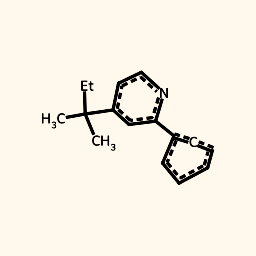 CCC(C)(C)c1ccnc(-c2ccccc2)c1